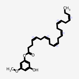 CC/C=C\C/C=C\C/C=C\C/C=C\C/C=C\C/C=C\CCC(=O)Oc1cc(O)cc(OC)c1